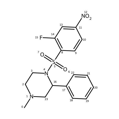 CN1CCN(S(=O)(=O)c2ccc([N+](=O)[O-])cc2F)C(c2ccccc2)C1